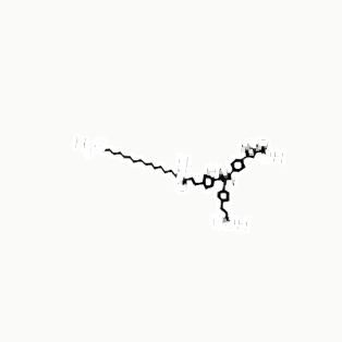 CCCCCCCCCCCCCCCCNC(=O)/C=C/c1ccc(-c2[nH]c(-c3ccc(C4=NOC(C(=O)O)C4)cc3)nc2-c2ccc(/C=C/C(=O)O)cc2)cc1